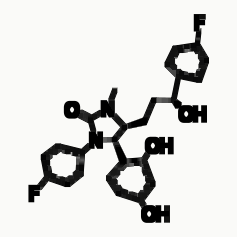 CN1C(=O)N(c2ccc(F)cc2)[C@H](c2ccc(O)cc2O)[C@@H]1CC[C@H](O)c1ccc(F)cc1